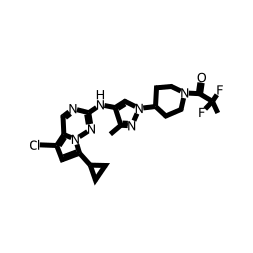 Cc1nn(C2CCN(C(=O)C(C)(F)F)CC2)cc1Nc1ncc2c(Cl)cc(C3CC3)n2n1